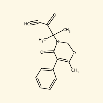 C#CC(=O)C(C)(C)N1COC(C)=C(c2ccccc2)C1=O